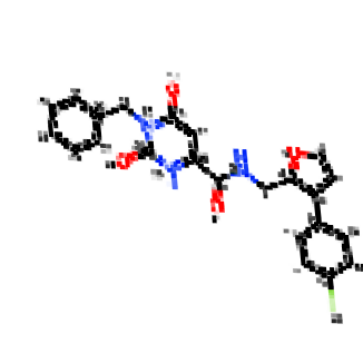 O=C(NCc1occc1-c1ccc(F)cc1)c1cc(=O)n(Cc2ccccc2)c(=O)[nH]1